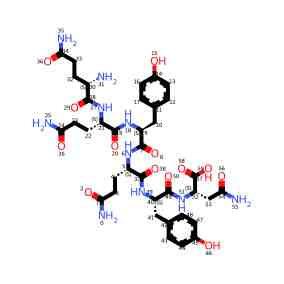 NC(=O)CC[C@H](NC(=O)[C@H](Cc1ccc(O)cc1)NC(=O)[C@H](CCC(N)=O)NC(=O)[C@@H](N)CCC(N)=O)C(=O)N[C@@H](Cc1ccc(O)cc1)C(=O)N[C@@H](CC(N)=O)C(=O)O